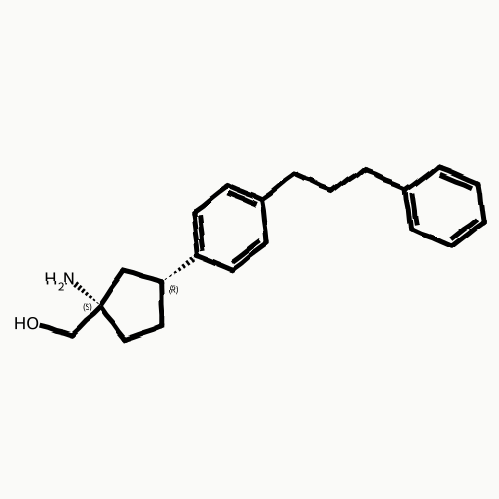 N[C@@]1(CO)CC[C@@H](c2ccc(CCCc3ccccc3)cc2)C1